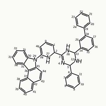 C1=CC(C2=NC(c3ccccc3)NC(c3cccc(-c4ccccc4)c3)N2)NC(n2c3ccccc3c3c4ccccc4ccc32)=C1